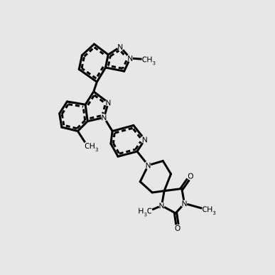 Cc1cccc2c(-c3cccc4nn(C)cc34)nn(-c3ccc(N4CCC5(CC4)C(=O)N(C)C(=O)N5C)nc3)c12